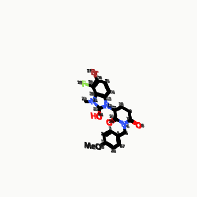 COc1ccc(CN2C(=O)CCC(N3c4ccc(Br)c(F)c4N(C)C3O)C2=O)cc1